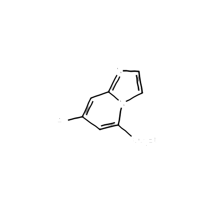 CCOC(=O)c1cc(C(C)=O)cc2nccn12